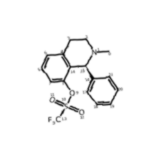 CN1CCc2cccc(OS(=O)(=O)C(F)(F)F)c2[C@@H]1c1ccccc1